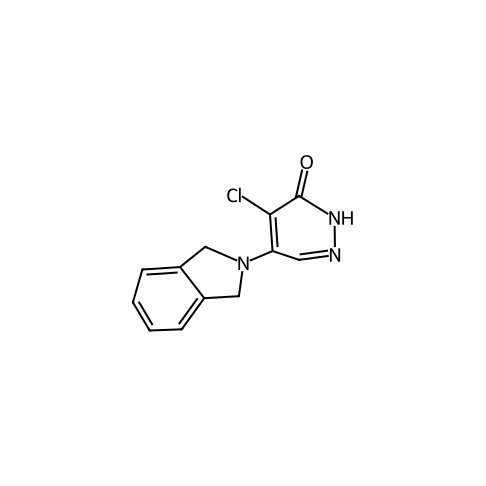 O=c1[nH]ncc(N2Cc3ccccc3C2)c1Cl